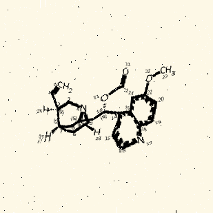 C=C[C@H]1CN2CC[C@H]1C[C@H]2[C@H](OC=O)c1ccnc2ccc(OC)cc12